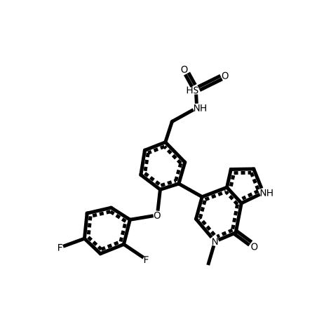 Cn1cc(-c2cc(CN[SH](=O)=O)ccc2Oc2ccc(F)cc2F)c2cc[nH]c2c1=O